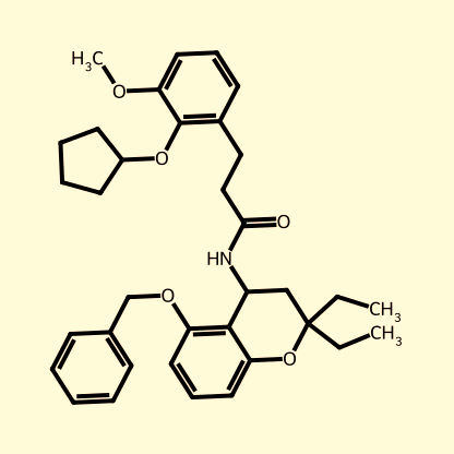 CCC1(CC)CC(NC(=O)CCc2cccc(OC)c2OC2CCCC2)c2c(OCc3ccccc3)cccc2O1